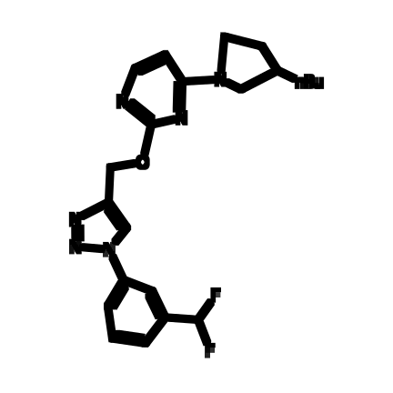 CCCCC1CCN(c2ccnc(OCc3cn(-c4cccc(C(F)F)c4)nn3)n2)C1